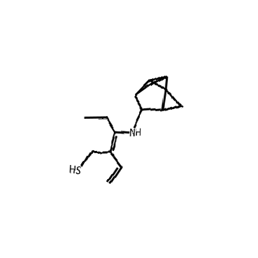 C=C/C(CS)=C(/CC)NC1C2C3C2C32CC12